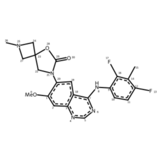 COc1cc2ncnc(Nc3ccc(F)c(C)c3F)c2cc1N1CC2(CN(C)C2)OC1=O